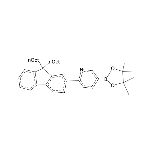 CCCCCCCCC1(CCCCCCCC)c2ccccc2-c2ccc(-c3ccc(B4OC(C)(C)C(C)(C)O4)cn3)cc21